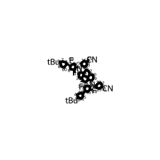 CC(C)(C)c1ccc(-c2cc(F)c(N(c3ccc(C#N)cc3)c3ccc4ccc5c(N(c6ccc(C#N)cc6)c6cc(F)c(-c7ccc(C(C)(C)C)cc7)cc6F)ccc6ccc3c4c65)cc2F)cc1